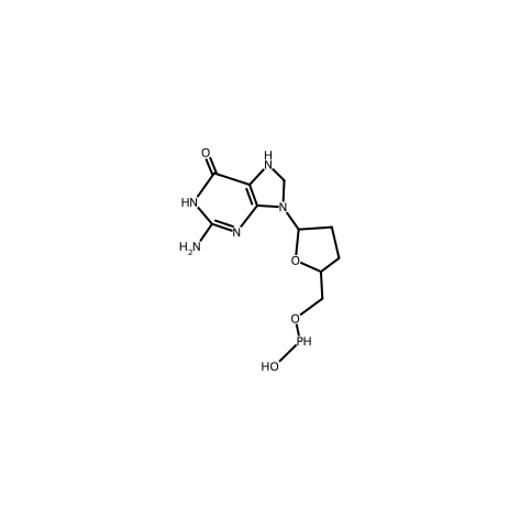 Nc1nc2c(c(=O)[nH]1)NCN2C1CCC(COPO)O1